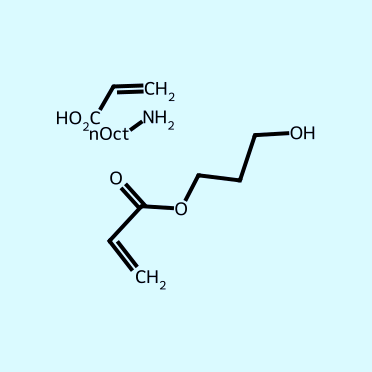 C=CC(=O)O.C=CC(=O)OCCCO.CCCCCCCCN